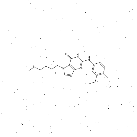 CCc1cc(Nc2nc3ncn(CCCCOC)c3c(=O)[nH]2)ccc1C